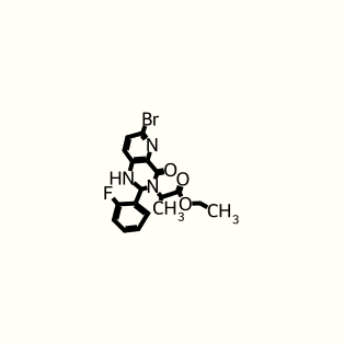 CCOC(=O)C(C)N1C(=O)c2nc(Br)ccc2NC1c1ccccc1F